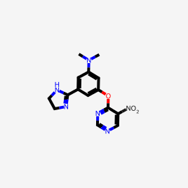 CN(C)c1cc(Oc2ncncc2[N+](=O)[O-])cc(C2=NCCN2)c1